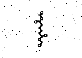 ClCOC(Cl)CCCCC(Cl)OCCl